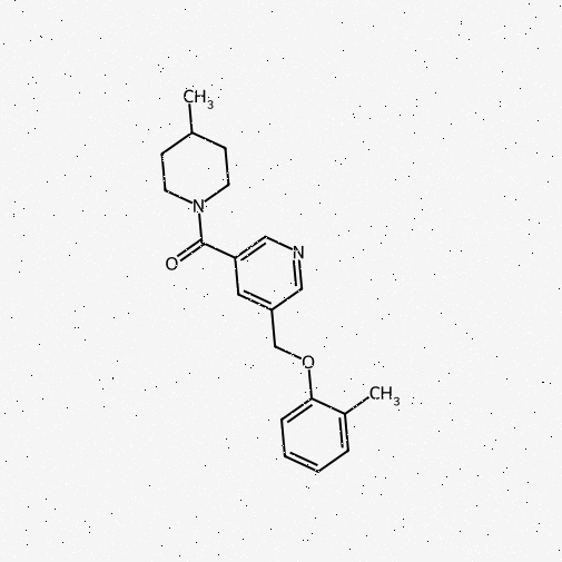 Cc1ccccc1OCc1cncc(C(=O)N2CCC(C)CC2)c1